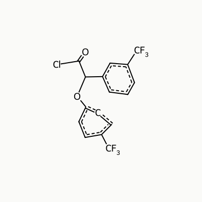 O=C(Cl)C(Oc1ccc(C(F)(F)F)cc1)c1cccc(C(F)(F)F)c1